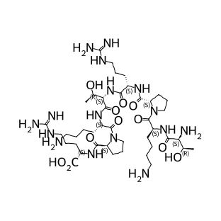 C[C@@H](O)[C@H](N)C(=O)N[C@@H](CCCCN)C(=O)N1CCC[C@H]1C(=O)N[C@@H](CCCNC(=N)N)C(=O)N[C@H](C(=O)N[C@@H](CCCCN)C(=O)N1CCC[C@H]1C(=O)N[C@@H](CCCNC(=N)N)C(=O)O)[C@@H](C)O